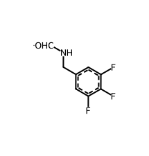 O=[C]NCc1cc(F)c(F)c(F)c1